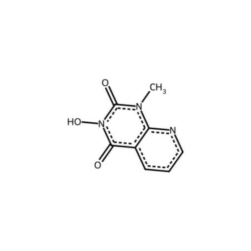 Cn1c(=O)n(O)c(=O)c2cccnc21